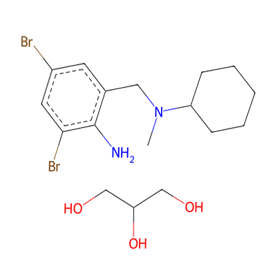 CN(Cc1cc(Br)cc(Br)c1N)C1CCCCC1.OCC(O)CO